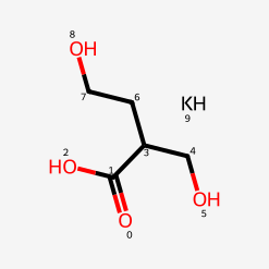 O=C(O)C(CO)CCO.[KH]